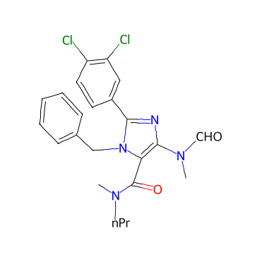 CCCN(C)C(=O)c1c(N(C)C=O)nc(-c2ccc(Cl)c(Cl)c2)n1Cc1ccccc1